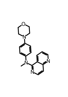 CN(c1ccc(N2CCOCC2)cc1)c1nccc2ncccc12